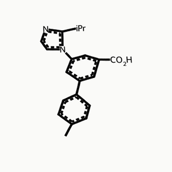 Cc1ccc(-c2cc(C(=O)O)cc(-n3ccnc3C(C)C)c2)cc1